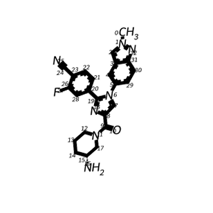 Cn1cc2cc(-n3cc(C(=O)N4CCC[C@@H](N)C4)nc3-c3ccc(C#N)c(F)c3)ccc2n1